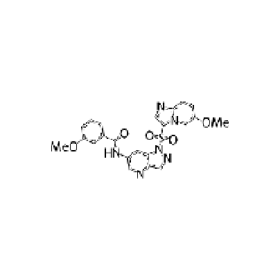 COc1cccc(C(=O)Nc2cnc3cnn(S(=O)(=O)c4cnc5ccc(OC)cn45)c3c2)c1